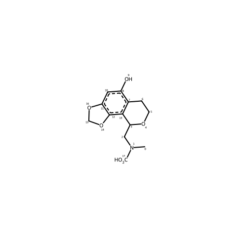 CN(CC1OCCc2c(O)cc3c(c21)OCO3)C(=O)O